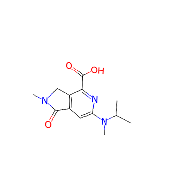 CC(C)N(C)c1cc2c(c(C(=O)O)n1)CN(C)C2=O